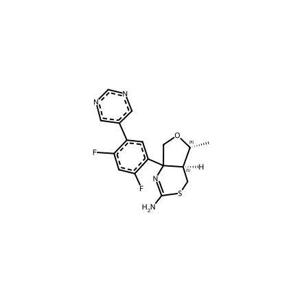 C[C@H]1OCC2(c3cc(-c4cncnc4)c(F)cc3F)N=C(N)SC[C@H]12